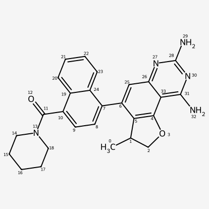 CC1COc2c1c(-c1ccc(C(=O)N3CCCCC3)c3ccccc13)cc1nc(N)nc(N)c21